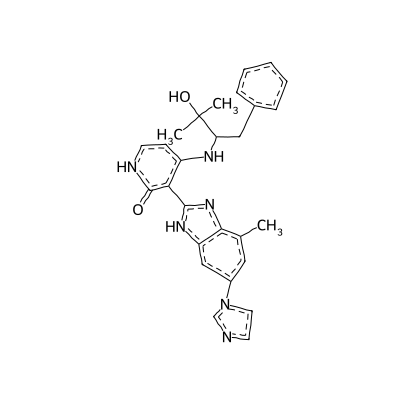 Cc1cc(-n2ccnc2)cc2[nH]c(-c3c(NC(Cc4ccccc4)C(C)(C)O)cc[nH]c3=O)nc12